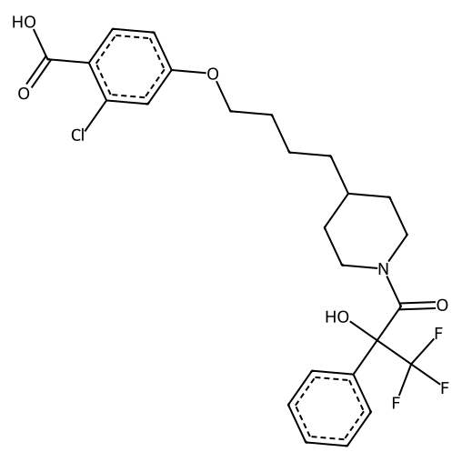 O=C(O)c1ccc(OCCCCC2CCN(C(=O)C(O)(c3ccccc3)C(F)(F)F)CC2)cc1Cl